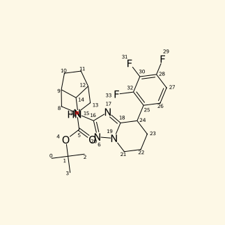 CC(C)(C)OC(=O)N1CC2CCC(C1)C2Nc1nc2n(n1)CCCC2c1ccc(F)c(F)c1F